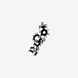 CC[Si](CC)(CC)O[C@@H]1C[C@H]2C(=O)N(c3cccc(C(F)(F)F)c3)CCCN2C1